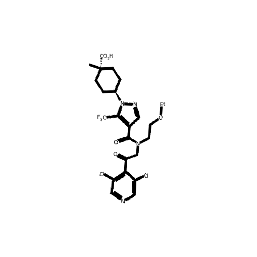 CCOCCN(CC(=O)c1c(Cl)cncc1Cl)C(=O)c1cnn([C@H]2CC[C@](C)(C(=O)O)CC2)c1C(F)(F)F